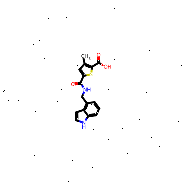 Cc1cc(C(=O)NCc2cccc3[nH]ccc23)sc1C(=O)O